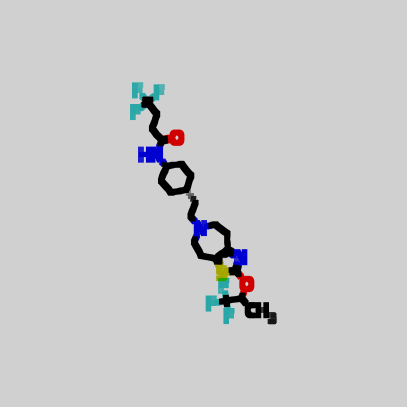 CC(Oc1nc2c(s1)CCN(CC[C@H]1CC[C@H](NC(=O)CCC(F)(F)F)CC1)CC2)C(F)(F)F